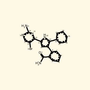 NC(=O)c1ccccc1-c1cc(-c2nc(N)ncc2Br)[nH]c1-c1ccccc1